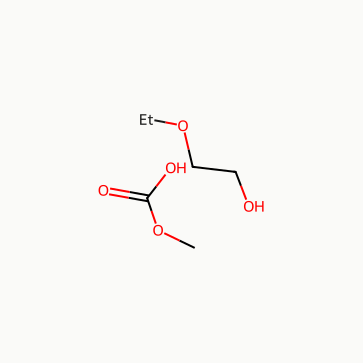 CCOCCO.COC(=O)O